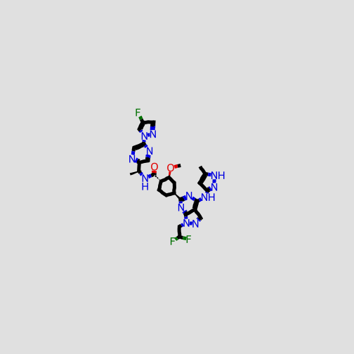 CO[C@H]1C[C@@H](c2nc(Nc3cc(C)[nH]n3)c3cnn(CC(F)F)c3n2)CC[C@@H]1C(=O)N[C@@H](C)c1cnc(-n2cc(F)cn2)cn1